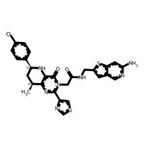 C[C@H]1C[C@@H](c2ccc(Cl)cc2)Nc2c1nc(-c1cscn1)n(CC(=O)NCc1cc3cnc(N)cc3s1)c2=O